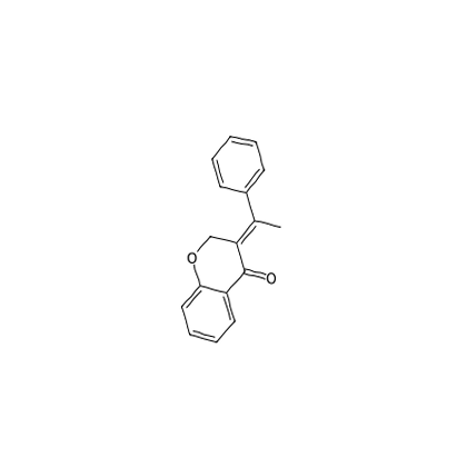 CC(=C1COc2ccccc2C1=O)c1ccccc1